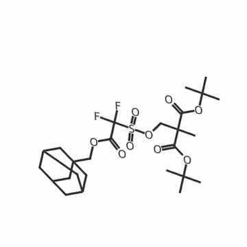 CC(C)(C)OC(=O)C(C)(COS(=O)(=O)C(F)(F)C(=O)OCC12CC3CC(CC(C3)C1)C2)C(=O)OC(C)(C)C